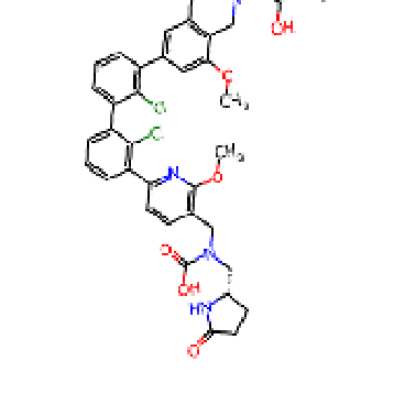 COc1cc(-c2cccc(-c3cccc(-c4ccc(CN(C[C@@H]5CCC(=O)N5)C(=O)O)c(OC)n4)c3Cl)c2Cl)cc2c1CN(C[C@H](C)O)CC2